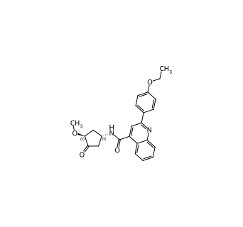 CCOc1ccc(-c2cc(C(=O)N[C@@H]3CC(=O)[C@@H](OC)C3)c3ccccc3n2)cc1